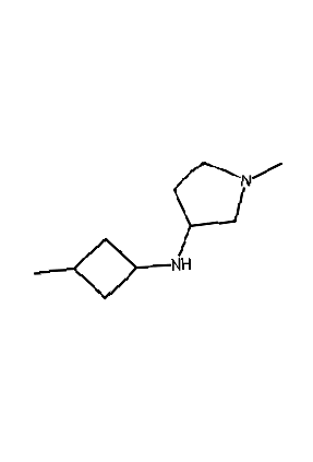 CC1CC(NC2CCN(C)C2)C1